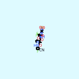 Cc1c(C(=O)C(=O)NC2(C(=O)N3CC4(C3)CN(S(C)(=O)=O)C4)CC(F)(F)C2)c2n(c1C(=O)Nc1ccc(F)c(C#N)c1)CCC2